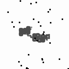 CC(Cl)C(=O)O[C@H]1CO[C@H]2[C@H]1OC[C@@H]2OC(=O)CCCC(CO[N+](=O)[O-])O[N+](=O)[O-]